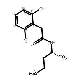 CSCC[C@H](NC(=O)Cc1c(Cl)cccc1Cl)C(=O)O